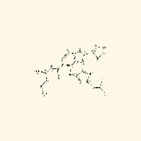 C[C@H](CCO)NC(=O)c1cnc2sc(-c3cncs3)cc2c1Nc1cnn(CC(F)F)c1